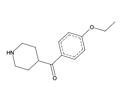 CCOc1ccc(C(=O)C2CCNCC2)cc1